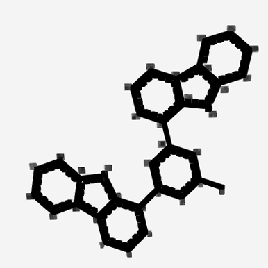 Cc1cc(-c2cccc3c2sc2ccccc23)[c]c(-c2cccc3c2sc2ccccc23)c1